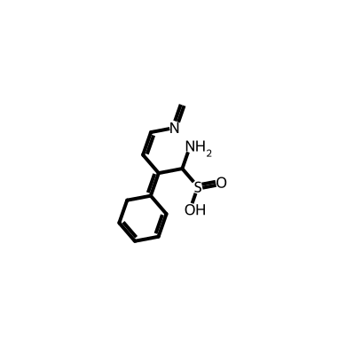 C=N/C=C\C(=C1\C=CC=CC1)C(N)S(=O)O